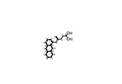 C=C(CCC(O)O)Cc1cccc2cc3ccccc3cc12